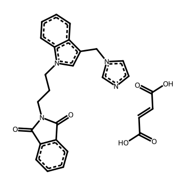 O=C(O)/C=C/C(=O)O.O=C1c2ccccc2C(=O)N1CCCn1cc(Cn2ccnc2)c2ccccc21